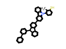 Cc1c(S)cccc1-n1c2ccccc2c2cc(-c3ccc4c(c3)-c3ccccc3C4c3cccc(-c4ccccc4)c3)ccc21